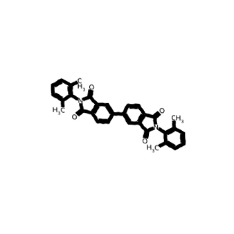 Cc1cccc(C)c1N1C(=O)c2ccc(-c3ccc4c(c3)C(=O)N(c3c(C)cccc3C)C4=O)cc2C1=O